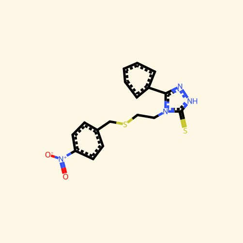 O=[N+]([O-])c1ccc(CSCCn2c(-c3ccccc3)n[nH]c2=S)cc1